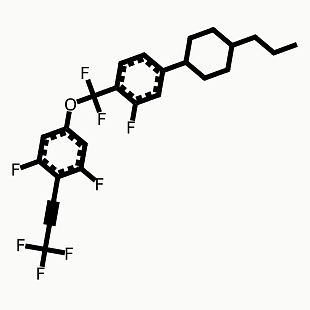 CCCC1CCC(c2ccc(C(F)(F)Oc3cc(F)c(C#CC(F)(F)F)c(F)c3)c(F)c2)CC1